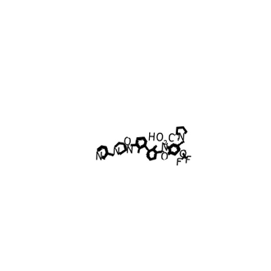 Cc1c(-c2nc3c(o2)CCN(Cc2cccnc2)C3)cccc1-c1cccc(-c2nc3cc(CN4CCC[C@H]4C(=O)O)c(OC(F)F)cc3o2)c1C